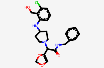 O=C(NCc1ccccc1)C(C1=COCO1)N1CCC(Nc2cccc(Cl)c2CO)CC1